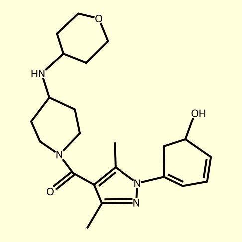 Cc1nn(C2=CC=CC(O)C2)c(C)c1C(=O)N1CCC(NC2CCOCC2)CC1